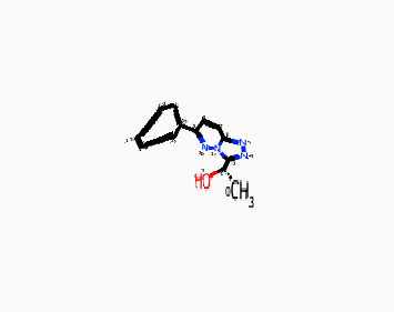 C[C@H](O)c1nnc2ccc(-c3ccccc3)nn12